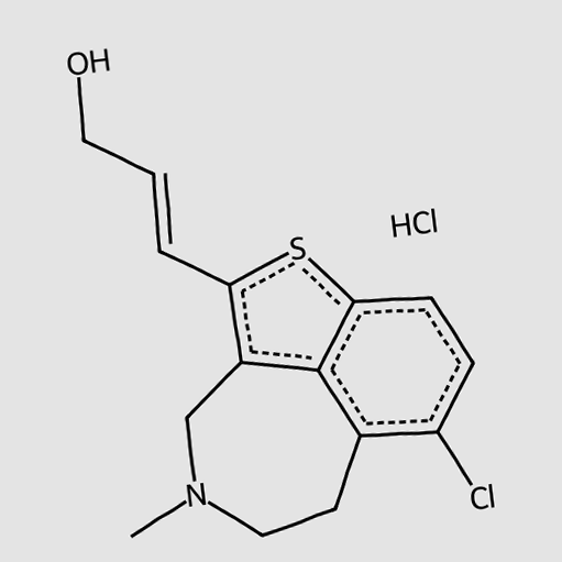 CN1CCc2c(Cl)ccc3sc(C=CCO)c(c23)C1.Cl